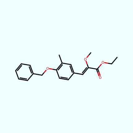 CCOC(=O)/C(=C/c1ccc(OCc2ccccc2)c(C)c1)OC